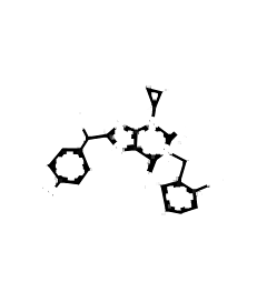 CC(c1ccc(N)cc1)c1nc2c([nH]1)c(=O)n(Cc1ccccc1F)c(=O)n2C1CC1